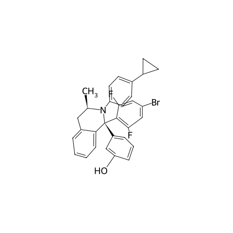 C[C@@H]1Cc2ccccc2[C@@](c2cccc(O)c2)(c2c(F)cc(Br)cc2F)N1c1ccc(C2CC2)cc1